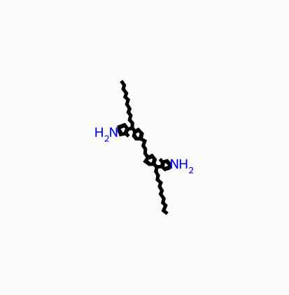 CCCCCCCCCCCCC(c1ccc(CCCCc2ccc(C(CCCCCCCCCCCC)c3ccc(N)cc3C)cc2)cc1)c1ccc(N)cc1C